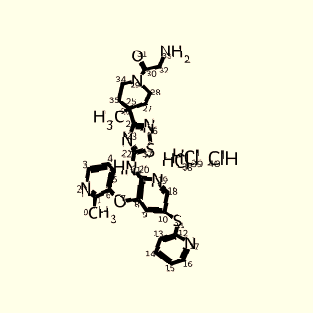 Cc1ncccc1Oc1cc(Sc2ccccn2)cnc1Nc1nc(C2(C)CCN(C(=O)CN)CC2)ns1.Cl.Cl.Cl